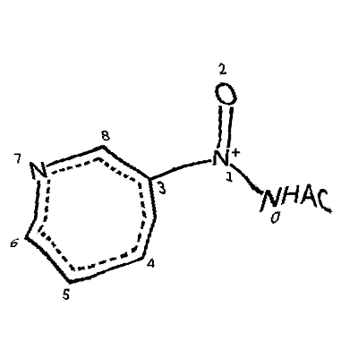 CC(=O)N[N+](=O)c1cccnc1